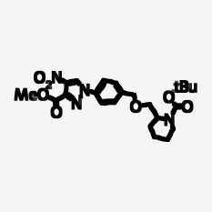 COC(=O)c1nn(-c2ccc(COCC3CCCCN3C(=O)OC(C)(C)C)cc2)cc1[N+](=O)[O-]